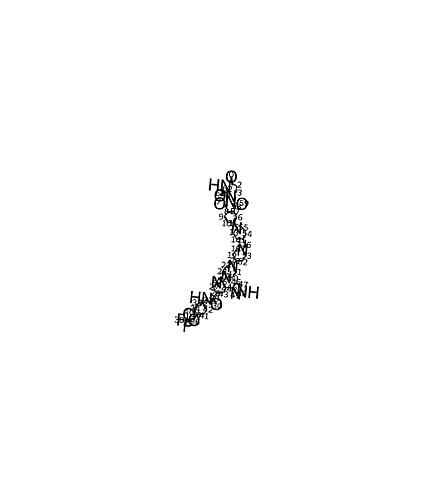 O=C1CCN(N2C(=O)c3ccc(N4CCC(CN5CCC(N6CCN(c7ncc(C(=O)Nc8ccc(OC(F)(F)Cl)cc8)cc7-c7cc[nH]n7)CC6)CC5)CC4)cc3C2=O)C(=O)N1